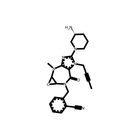 CC#CCn1c(N2CCC[C@@H](N)C2)nc2c1C(=O)N(Cc1ccccc1C#N)C1OC1N2C